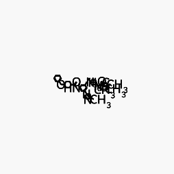 Cc1cn(-c2cc(CN3CC[C@H](N(C)C(=O)OC(C)(C)C)C3)cc(NC(=O)C3CCC(Oc4ccccc4)CC3)c2)cn1